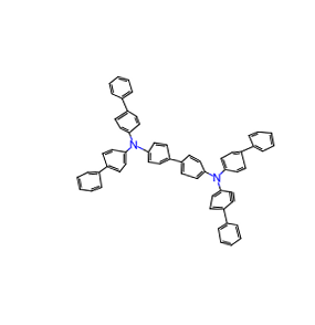 c1c(-c2ccccc2)ccc(N(c2ccc(-c3ccccc3)cc2)c2ccc(-c3ccc(N(c4ccc(-c5ccccc5)cc4)c4ccc(-c5ccccc5)cc4)cc3)cc2)c#1